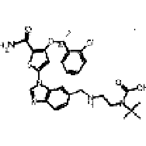 C[C@@H](Oc1cc(-n2cnc3ccc(CNCCN(C(=O)O)C(C)(C)C)cc32)sc1C(N)=O)c1ccccc1Cl